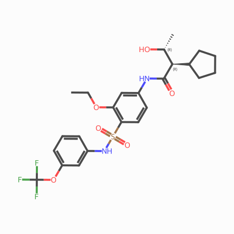 CCOc1cc(NC(=O)[C@H](C2CCCC2)[C@@H](C)O)ccc1S(=O)(=O)Nc1cccc(OC(F)(F)F)c1